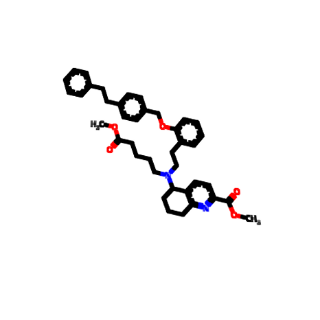 COC(=O)CCCCN(CCc1ccccc1OCc1ccc(CCc2ccccc2)cc1)C1CCCc2nc(C(=O)OC)ccc21